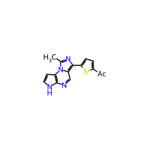 CC(=O)c1ccc(-c2nc(C)n3c2cnc2[nH]ccc23)s1